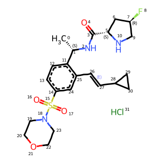 C[C@H](NC(=O)[C@@H]1C[C@@H](F)CN1)c1ccc(S(=O)(=O)N2CCOCC2)cc1/C=C/C1CC1.Cl